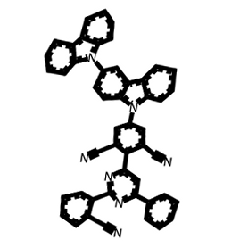 N#Cc1ccccc1-c1nc(-c2ccccc2)cc(-c2c(C#N)cc(-n3c4ccccc4c4cc(-n5c6ccccc6c6ccccc65)ccc43)cc2C#N)n1